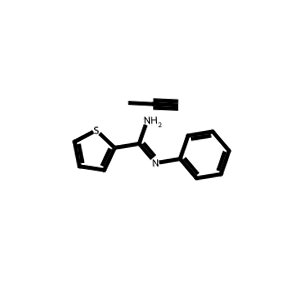 C#CC.NC(=Nc1ccccc1)c1cccs1